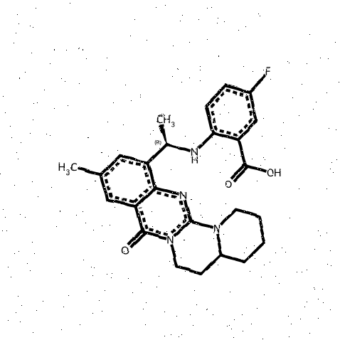 Cc1cc([C@@H](C)Nc2ccc(F)cc2C(=O)O)c2nc3n(c(=O)c2c1)CCC1CCCCN31